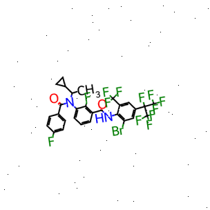 CC(C1CC1)N(C(=O)c1ccc(F)cc1)c1cccc(C(=O)Nc2c(Br)cc(C(F)(C(F)(F)F)C(F)(F)F)cc2C(F)(F)F)c1F